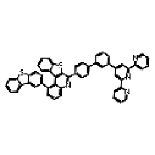 c1ccc(-c2cc(-c3cccc(-c4ccc(-c5nc6cccc(-c7ccc8sc9ccccc9c8c7)c6c6c5sc5ccccc56)cc4)c3)cc(-c3ccccn3)n2)nc1